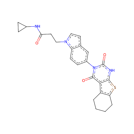 O=C(CCn1ccc2cc(-n3c(=O)[nH]c4sc5c(c4c3=O)CCCC5)ccc21)NC1CC1